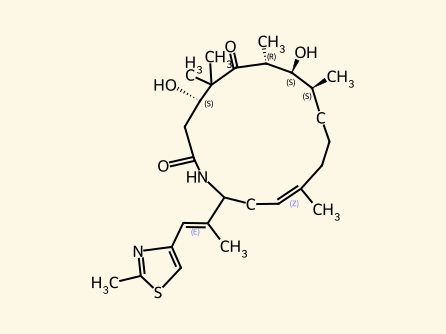 C/C1=C/CC(/C(C)=C/c2csc(C)n2)NC(=O)C[C@H](O)C(C)(C)C(=O)[C@H](C)[C@@H](O)[C@@H](C)CCC1